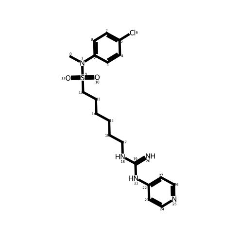 CN(c1ccc(Cl)cc1)S(=O)(=O)CCCCCCNC(=N)Nc1ccncc1